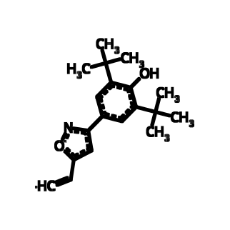 [CH]=Cc1cc(-c2cc(C(C)(C)C)c(O)c(C(C)(C)C)c2)no1